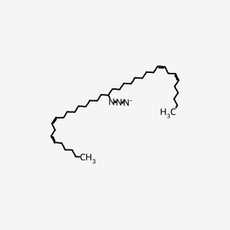 CCCCC/C=C\C/C=C\CCCCCCCCC(CCCCCCCC/C=C\C/C=C\CCCCC)N=[N+]=[N-]